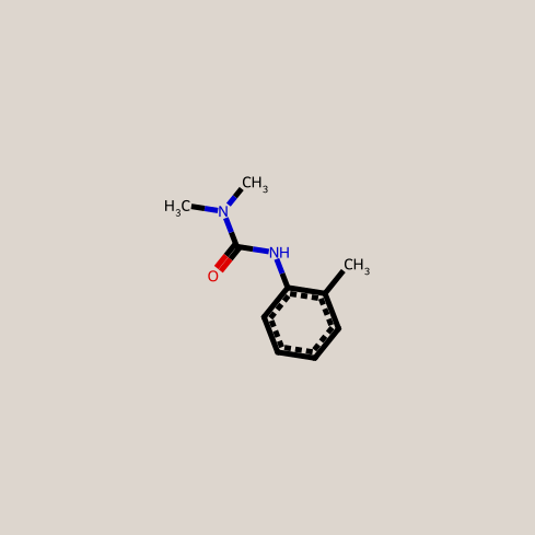 Cc1ccccc1NC(=O)N(C)C